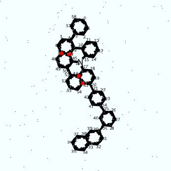 c1ccc(-c2ccccc2-c2ccccc2N(c2ccc(-c3ccc(-c4cccc(-c5ccc6ccccc6c5)c4)cc3)cc2)c2ccccc2-c2ccccc2)cc1